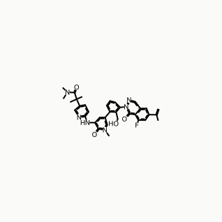 C=C(C)c1cc(F)c2c(=O)n(-c3cccc(-c4cc(Nc5ccc(C(C)(C)C(=O)N(C)C)cn5)c(=O)n(C)c4)c3CO)ncc2c1